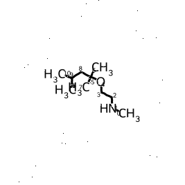 CNCCOC(C)(C)CC(C)C